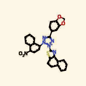 O=[N+]([O-])c1ccc(-n2nc(-c3ccc4c(c3)OCO4)n[n+]2-c2nc3c(ccc4ccccc43)s2)c2ccccc12